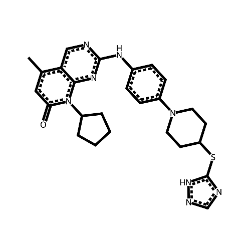 Cc1cc(=O)n(C2CCCC2)c2nc(Nc3ccc(N4CCC(Sc5ncn[nH]5)CC4)cc3)ncc12